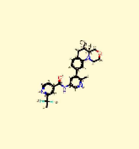 Cc1ncc(NC(=O)c2ccnc(C(C)(F)F)c2)cc1-c1ccc2c(c1)N1CCOC[C@H]1[C@H](C#N)C2